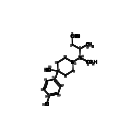 CC(CC=O)N(C(=O)O)N1CCC(O)(c2ccc(Cl)cc2)CC1